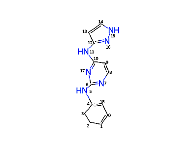 C1=CCCC(Nc2nccc(Nc3cc[nH]n3)n2)=C1